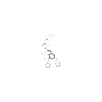 COC(=O)C[C@@H]1CSC(c2cc3cc(CN4CCCC4)cc(NC4CCCC4)c3[nH]2)=N1